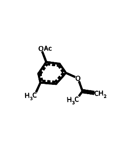 C=C(C)Oc1cc(C)cc(OC(C)=O)c1